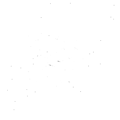 N#Cc1ccnc(N2C(=O)CC[C@H]2C(=O)N(c2cccc(F)c2)[C@H](C(=O)NC2CC(F)(F)C2)c2ccccc2Cl)n1